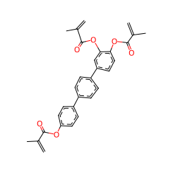 C=C(C)C(=O)Oc1ccc(-c2ccc(-c3ccc(OC(=O)C(=C)C)c(OC(=O)C(=C)C)c3)cc2)cc1